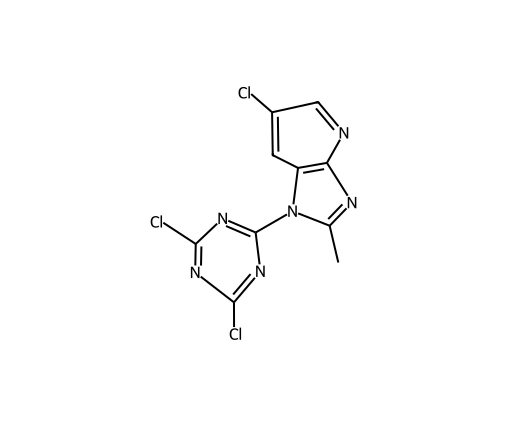 Cc1nc2ncc(Cl)cc2n1-c1nc(Cl)nc(Cl)n1